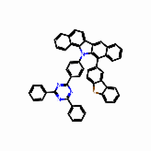 c1ccc(-c2nc(-c3ccccc3)nc(-c3ccc(-n4c5c(-c6ccc7sc8ccccc8c7c6)c6ccccc6cc5c5ccc6ccccc6c54)cc3)n2)cc1